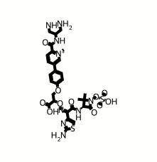 C[n+]1cc(-c2ccc(OCC(O/N=C(\C(=O)N[C@@H]3C(=O)N(OS(=O)(=O)O)C3(C)C)c3csc(N)n3)C(=O)O)cc2)ccc1C(=O)NC(CN)CN